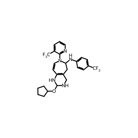 FC(F)(F)c1ccc(NC2CC3=C(C=CN2c2ncccc2C(F)(F)F)NC(OC2CCCC2)NC3)cc1